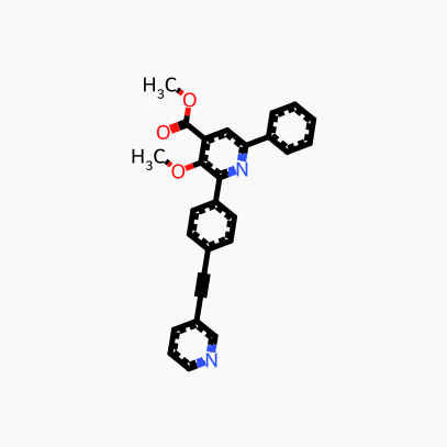 COC(=O)c1cc(-c2ccccc2)nc(-c2ccc(C#Cc3cccnc3)cc2)c1OC